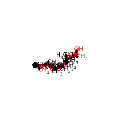 CCCC(C)(CCC(C)(CC)OCC(C)(CC)C(C)(C)OCCC(C)(CC)OCCOC(C)(CC)CC(O)COC(C)(CC)c1ccccc1)OCC(O)CC(C)(CC)OCCO